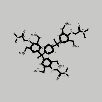 COCc1cc(C(C)(C)c2ccc(C(C)(c3cc(COC)c(OCC(=O)N(C)C)c(COC)c3)c3cc(COC)c(OCC(=O)N(C)C)c(COC)c3)cc2)cc(COC)c1OCC(=O)N(C)C